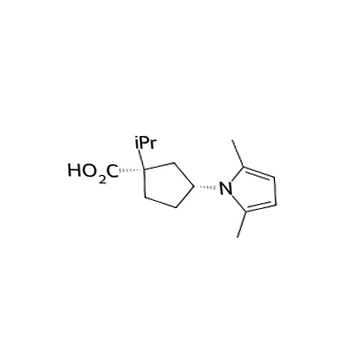 Cc1ccc(C)n1[C@@H]1CC[C@@](C(=O)O)(C(C)C)C1